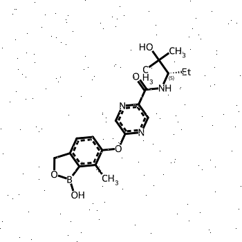 CC[C@H](NC(=O)c1cnc(Oc2ccc3c(c2C)B(O)OC3)cn1)C(C)(C)O